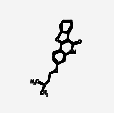 CN(C)CCOc1ccc2c(c1)[nH]c(=O)c1c3ccccc3oc21